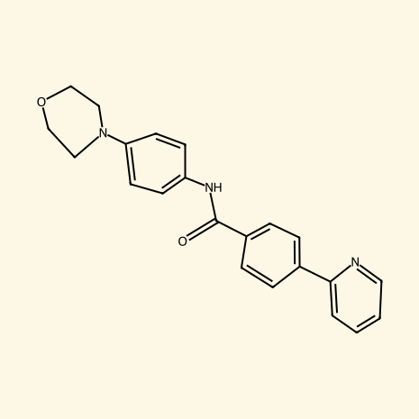 O=C(Nc1ccc(N2CCOCC2)cc1)c1ccc(-c2ccccn2)cc1